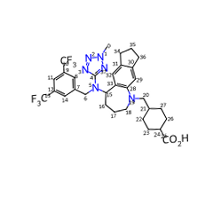 Cn1nnc(N(Cc2cc(C(F)(F)F)cc(C(F)(F)F)c2)C2CCCN(CC3CCC(C(=O)O)CC3)c3cc4c(cc32)CCC4)n1